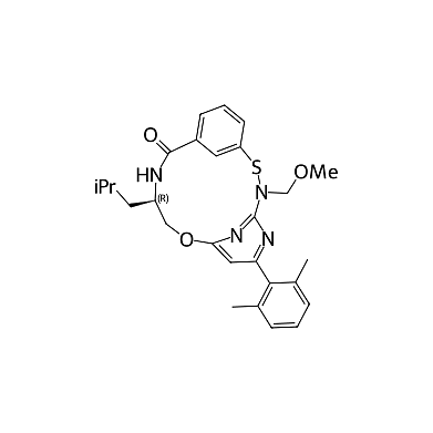 COCN1Sc2cccc(c2)C(=O)N[C@H](CC(C)C)COc2cc(-c3c(C)cccc3C)nc1n2